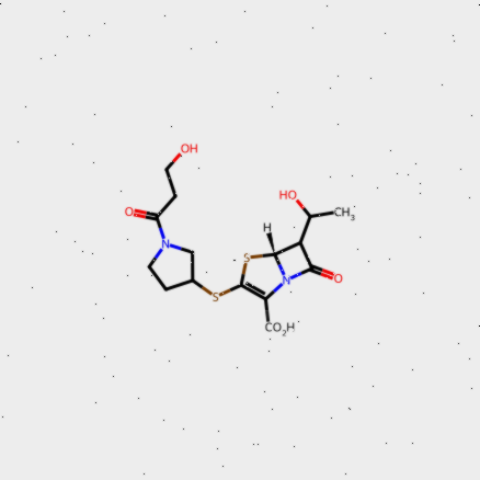 CC(O)C1C(=O)N2C(C(=O)O)=C(SC3CCN(C(=O)CCO)C3)S[C@H]12